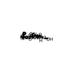 COc1cnc(-c2cc(C(=O)NCCOCCO)[nH]n2)c2[nH]cc(C(=O)C(=O)N3CCN(c4nnnn4-c4ccccc4)CC3)c12